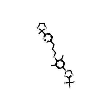 Cc1cc(N2CN=C(C(F)(F)F)O2)cc(C)c1OCCCc1ccc(C2(C)OCCO2)nn1